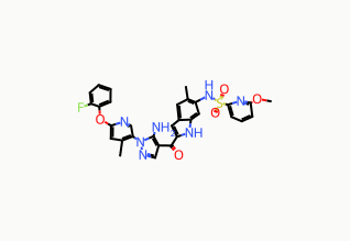 COc1cccc(S(=O)(=O)Nc2cc3[nH]c(C(=O)c4cnn(-c5cnc(Oc6ccccc6F)cc5C)c4N)cc3cc2C)n1